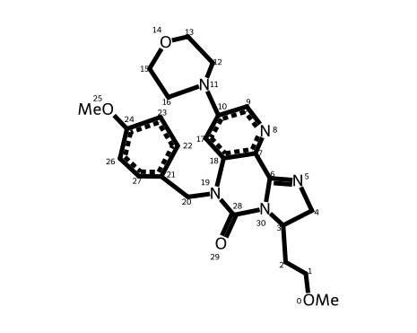 COCCC1CN=C2c3ncc(N4CCOCC4)cc3N(Cc3ccc(OC)cc3)C(=O)N21